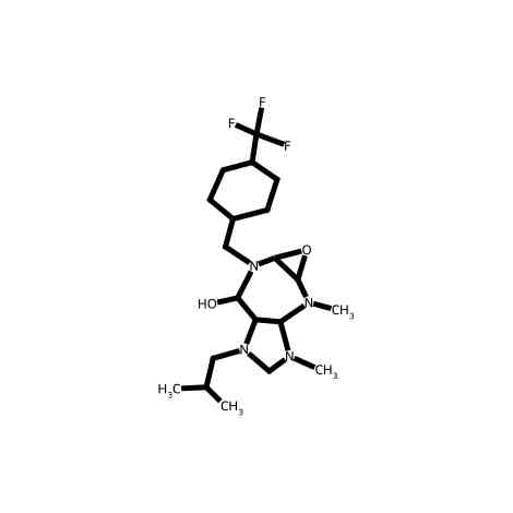 CC(C)CN1CN(C)C2C1C(O)N(CC1CCC(C(F)(F)F)CC1)C1OC1N2C